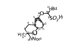 CCCCCCCCCC1(C)CCc2cc(OC(CCCC)S(=O)(=O)O)ccc2O1